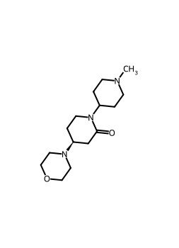 CN1CCC(N2CC[C@H](N3CCOCC3)CC2=O)CC1